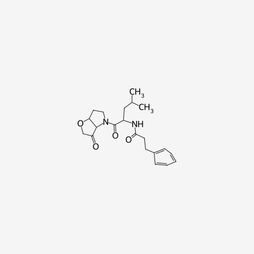 CC(C)CC(NC(=O)CCc1ccccc1)C(=O)N1CCC2OCC(=O)C21